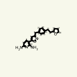 Nc1ccc(-c2cc(Cc3ccc(CCC4CCCO4)cc3)no2)c(N)n1